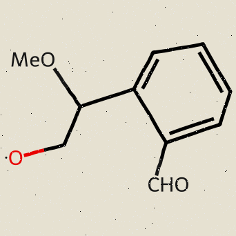 COC(C[O])c1ccccc1C=O